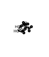 C[C@@H](COC(=O)N1CCC(n2c(=O)n(CCCC(=O)O)c3ccccc32)CC1)N(Cc1ccccc1)Cc1ccccc1.O=C(O)N1CCC(n2c(=O)n(S(=O)(=O)c3ccccc3)c3ccccc32)CC1